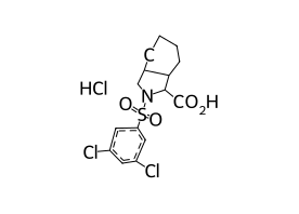 Cl.O=C(O)C1C2CCCCC2CN1S(=O)(=O)c1cc(Cl)cc(Cl)c1